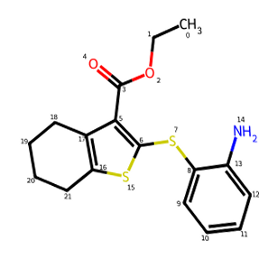 CCOC(=O)c1c(Sc2ccccc2N)sc2c1CCCC2